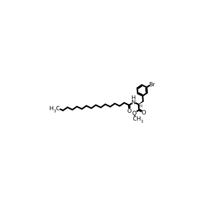 CCCCCCCCCCCCCCCC(=O)N[C@@H](Cc1cccc(Br)c1)C(=O)OC